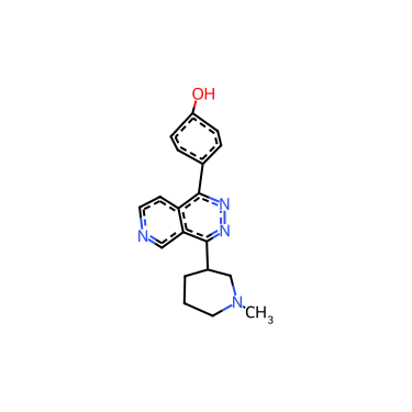 CN1CCCC(c2nnc(-c3ccc(O)cc3)c3ccncc23)C1